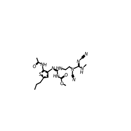 CCCc1cc(N=C(NCCN(C#N)C(=NC#N)NC)NC(=O)OC)c(NC(C)=O)s1